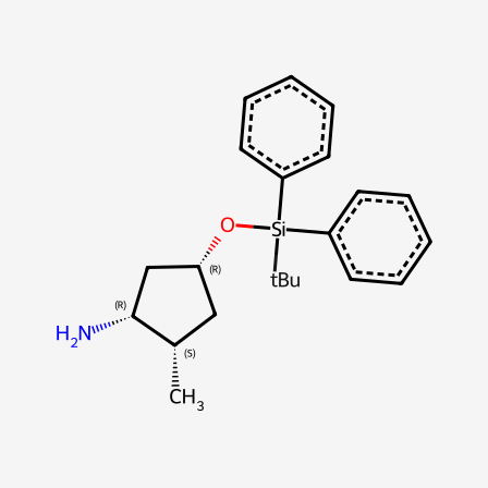 C[C@H]1C[C@@H](O[Si](c2ccccc2)(c2ccccc2)C(C)(C)C)C[C@H]1N